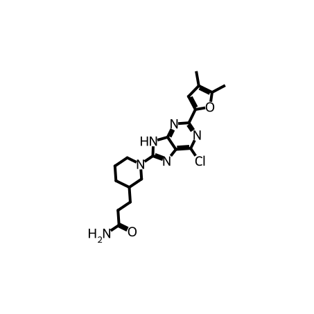 Cc1cc(-c2nc(Cl)c3nc(N4CCCC(CCC(N)=O)C4)[nH]c3n2)oc1C